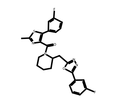 Cc1nc(C(=O)N2CCCCC2Cc2nnc(-c3cccc(F)c3)o2)c(-c2cccc(F)c2)s1